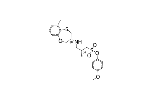 COc1ccc(OS(=O)(=O)C[C@@H](C)CN[C@@H]2COc3cccc(C)c3SC2)cc1